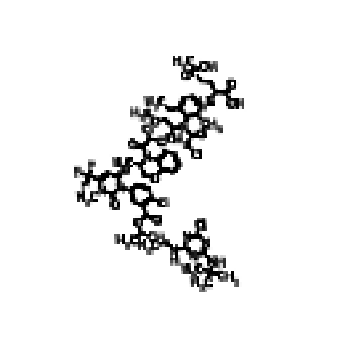 CC(C)OC(=O)c1cc(-n2c(=O)cc(C(F)(F)F)n(C)c2=O)ccc1Cl.CC1COc2ccccc2N1C(=O)C(Cl)Cl.CCNc1nc(Cl)nc(NC(C)(C)C)n1.CCc1cccc(C)c1N(C(=O)CCl)C(C)COC.CP(=O)(O)CCC(N)C(=O)O